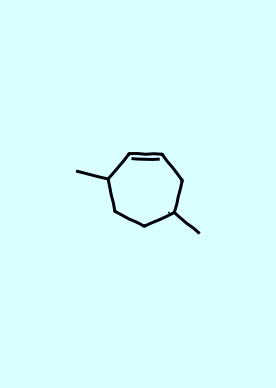 C[C]1CC=CC(C)CC1